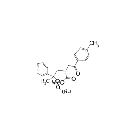 COC(=O)C(CC(=O)c1ccc(C)cc1)CC(C)(OOC(C)(C)C)c1ccccc1